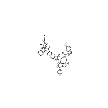 CCCOC(=O)[C@H](C)NP(=O)(Oc1ccccc1)C(F)c1ccc2ccc(C(=O)N[C@H]3CN(C(=O)c4noc5ccc(OC)cc45)CC[C@H]4CC[C@@H](C(=O)N5CCOCC5)N4C3=O)cc2c1